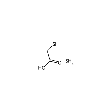 O=C(O)CS.S